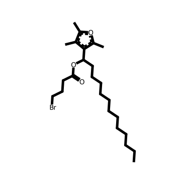 CCCCCCCCCCCCC(OC(=O)CCCBr)c1c(C)oc(C)c1C